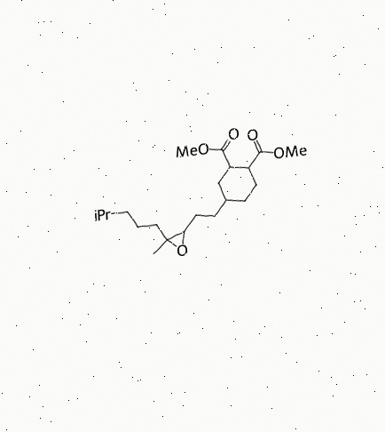 COC(=O)C1CCC(CCC2OC2(C)CCCC(C)C)CC1C(=O)OC